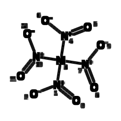 O=[N+]([O-])[Ni]([N+](=O)[O-])([N+](=O)[O-])[N+](=O)[O-]